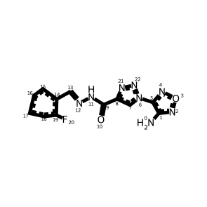 Nc1nonc1-n1cc(C(=O)NN=Cc2ccccc2F)nn1